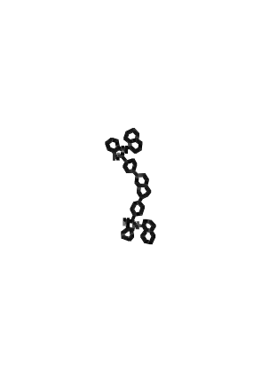 c1ccc2c(-n3c(-c4ccc(-c5ccc6ccc(-c7ccc(-c8nc9ccccc9n8-c8cccc9ccccc89)cc7)cc6c5)cc4)nc4ccccc43)cccc2c1